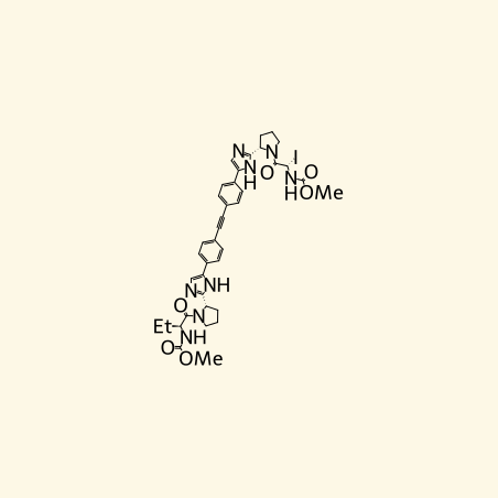 CC[C@H](NC(=O)OC)C(=O)N1CCC[C@H]1c1ncc(-c2ccc(C#Cc3ccc(-c4cnc([C@@H]5CCCN5C(=O)[C@H](I)NC(=O)OC)[nH]4)cc3)cc2)[nH]1